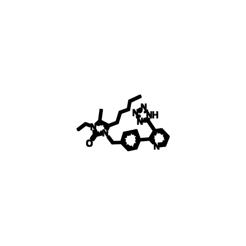 CCCCCc1c(C)n(CC)c(=O)n1Cc1ccc(-c2ncccc2-c2nnn[nH]2)cc1